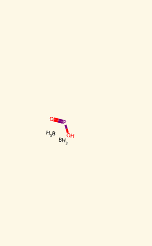 B.B.O=PO